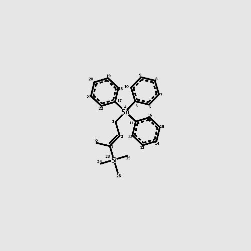 C/C(=C\[CH2][Sn]([c]1ccccc1)([c]1ccccc1)[c]1ccccc1)[Si](C)(C)C